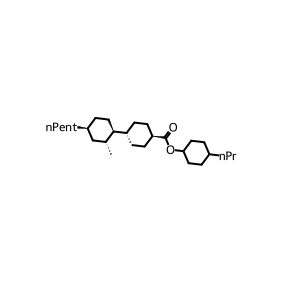 CCCCC[C@H]1CC[C@@H]([C@H]2CC[C@H](C(=O)OC3CCC(CCC)CC3)CC2)[C@H](C)C1